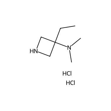 CCC1(N(C)C)CNC1.Cl.Cl